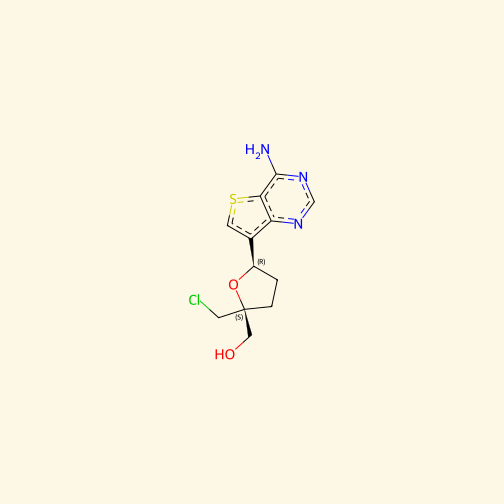 Nc1ncnc2c([C@H]3CC[C@](CO)(CCl)O3)csc12